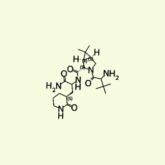 CC(C)(C)C(N)C(=O)N1C[C@H]2[C@@H]([C@H]1C(=O)NC(C[C@@H]1CCCNC1=O)C(N)=O)C2(C)C